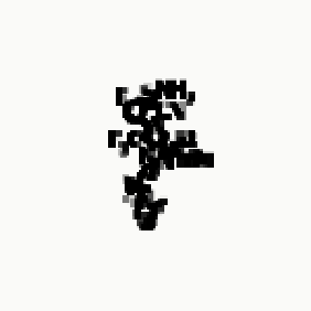 CCCCN(CC)c1nc(OCC2(CN3[C@@H](C)COC[C@@H]3C)CC2)nc2c(C(F)(F)F)c(C3=CC=C(F)C4SC(N)=C(C#N)C34)ncc12